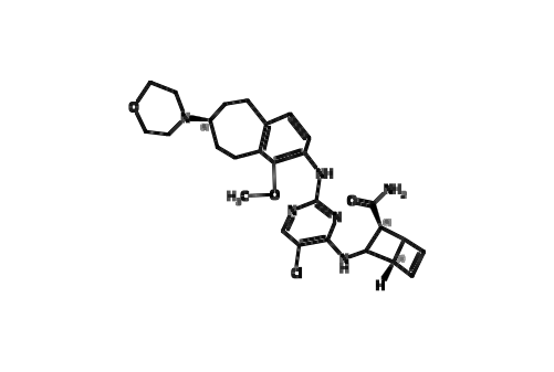 COc1c(Nc2ncc(Cl)c(NC3[C@H]4C=CC4[C@@H]3C(N)=O)n2)ccc2c1CC[C@@H](N1CCOCC1)CC2